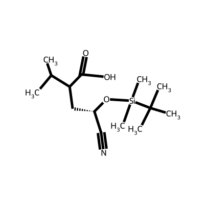 CC(C)C(C[C@@H](C#N)O[Si](C)(C)C(C)(C)C)C(=O)O